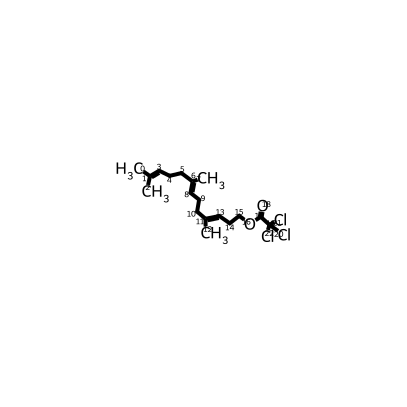 CC(C)=CCCC(C)=CCCC(C)=CCCOC(=O)C(Cl)(Cl)Cl